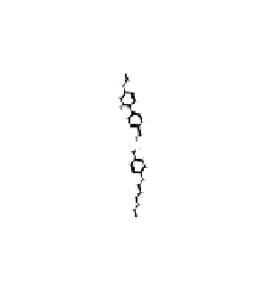 C=CCCCCCc1ccc(C=NN=Cc2ccc(-c3ccc(CCC)cc3F)cc2)cc1